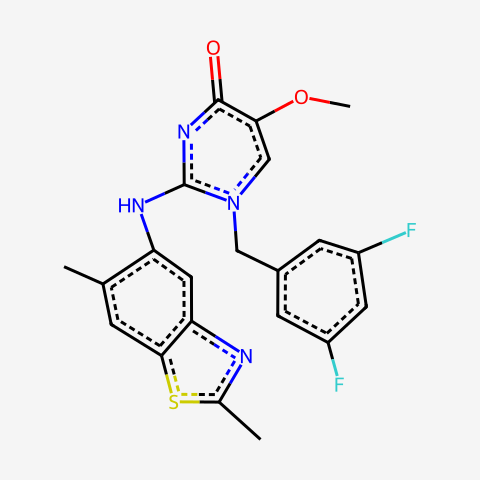 COc1cn(Cc2cc(F)cc(F)c2)c(Nc2cc3nc(C)sc3cc2C)nc1=O